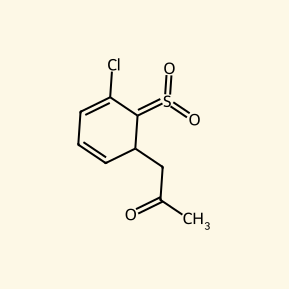 CC(=O)CC1C=CC=C(Cl)C1=S(=O)=O